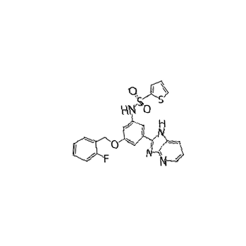 O=S(=O)(Nc1cc(OCc2ccccc2F)cc(-c2nc3ncccc3[nH]2)c1)c1cccs1